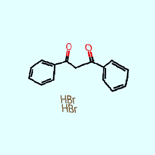 Br.Br.O=C(CC(=O)c1ccccc1)c1ccccc1